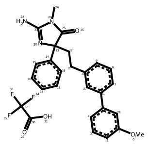 COc1cccc(-c2cccc(CCC3(c4ccccc4)N=C(N)N(C)C3=O)c2)c1.O=C(O)C(F)(F)F